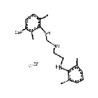 Cc1cccc(C)c1NCCNCNc1c(C)cc[c]([Co+2])c1C.[Cl-].[Cl-]